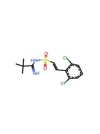 CC(C)(C)C(=N)NS(=O)(=O)C=Cc1c(Cl)cccc1Cl